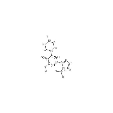 CCOC(=O)C(NC(=O)c1ccnn1C(C)C)C1CCC(C)CC1